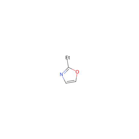 [CH2]Cc1ncco1